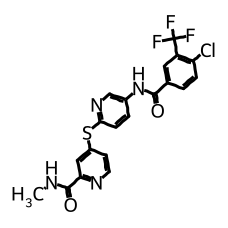 CNC(=O)c1cc(Sc2ccc(NC(=O)c3ccc(Cl)c(C(F)(F)F)c3)cn2)ccn1